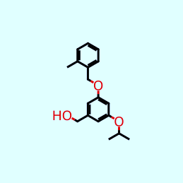 Cc1ccccc1COc1cc(CO)cc(OC(C)C)c1